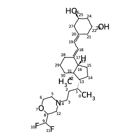 CC(CCN1CCOC(C(F)F)C1)[C@H]1CC[C@H]2C(=CC=C3C[C@@H](O)C[C@H](O)C3)CCC[C@]12C